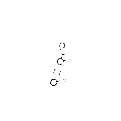 CCCNc1nc(N2CCN(c3ccccc3OC)CC2)ccc1C(=O)NN1CCCC1